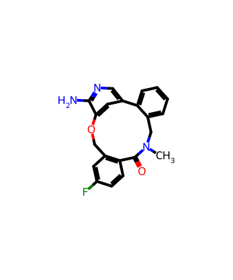 CN1Cc2ccccc2-c2cnc(N)c(c2)OCc2cc(F)ccc2C1=O